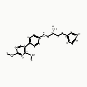 COc1ncc(-c2ccc(OC[C@H](O)CCc3cccnc3)cc2)c(OC)n1